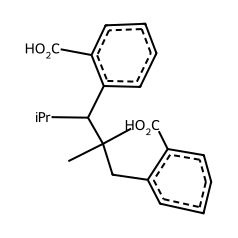 CC(C)C(c1ccccc1C(=O)O)C(C)(C)Cc1ccccc1C(=O)O